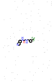 O=C(CNCc1cccc(C(F)(F)F)c1)Nc1ccc2cnccc2c1